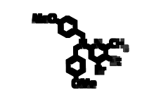 CCc1c(Br)cc(N(Cc2ccc(OC)cc2)Cc2ccc(OC)cc2)nc1C